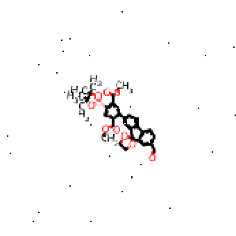 COC(=O)c1cc(-c2ccc3c(c2)C2(OCCO2)c2cc(C=O)ccc2-3)c(C(=O)OC)cc1B1OC(C)(C)C(C)(C)O1